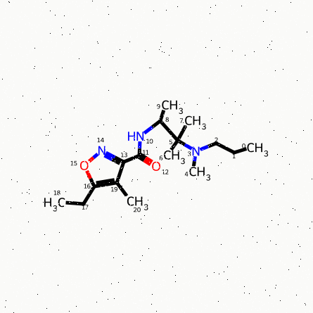 CCCN(C)C(C)(C)C(C)NC(=O)c1noc(CC)c1C